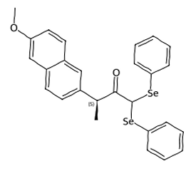 COc1ccc2cc([C@H](C)C(=O)C([Se]c3ccccc3)[Se]c3ccccc3)ccc2c1